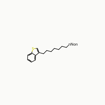 CCCCCCCCCCCCCCCCc1csc2ccccc12